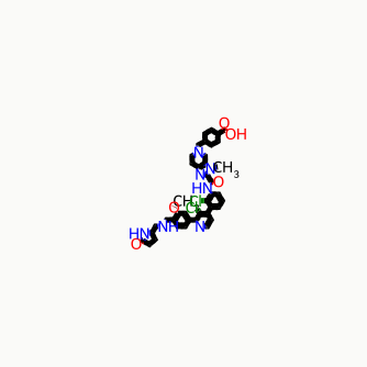 COc1cc(-c2nccc(-c3cccc(NC(=O)c4nc5c(n4C)CN(CC4CCC(C(=O)O)CC4)CC5)c3Cl)c2Cl)ccc1CNCC1CCC(=O)N1